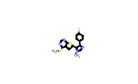 CSc1ncnc2sc(-c3c(-c4ccc(F)cc4)ncn3C)cc12